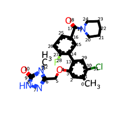 Cc1cc(OCc2n[nH]c(=O)n2C)c(-c2cc(C(=O)N3CCCCC3)ccc2F)cc1Cl